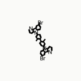 Cc1cc(-n2c3ccc(Br)cc3c3ncccc32)ccc1-c1ccc(-n2c3ccc(Br)cc3c3ncccc32)cc1C